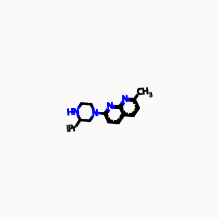 Cc1ccc2ccc(N3CCNC(C(C)C)C3)nc2n1